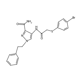 NC(=O)c1nn(CCc2ccccc2)cc1NC(=O)CSc1ccc(Br)cc1